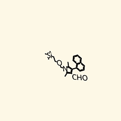 Cc1c(C=O)c(-c2cccc3ccccc23)c(C)n1COCC[Si](C)(C)C